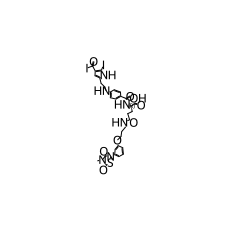 Cn1c(=O)sn(-c2cccc(OCCCNC(=O)CC[C@@H](NC(=O)c3ccc(NCCc4cc(C(=O)I)c(I)[nH]4)cc3)C(=O)O)c2)c1=O